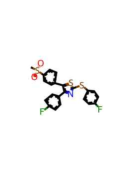 CS(=O)(=O)c1ccc(-c2sc(Sc3ccc(F)cc3)nc2-c2ccc(F)cc2)cc1